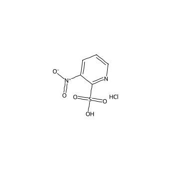 Cl.O=[N+]([O-])c1cccnc1S(=O)(=O)O